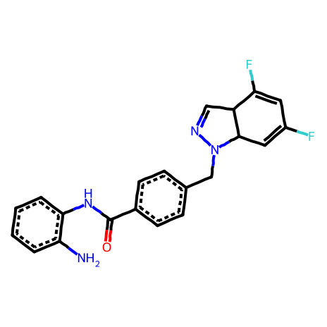 Nc1ccccc1NC(=O)c1ccc(CN2N=CC3C(F)=CC(F)=CC32)cc1